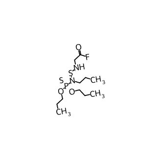 CCCOP(=S)(OCCC)N(CCC)SNCC(=O)F